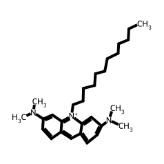 CCCCCCCCCCCC[n+]1c2cc(N(C)C)ccc2cc2ccc(N(C)C)cc21